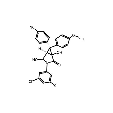 N#Cc1ccc([C@@]2(c3ccc(OC(F)(F)F)cc3)[C@@H]3C(O)N(c4cc(Cl)cc(Cl)c4)C(=O)C32O)cc1